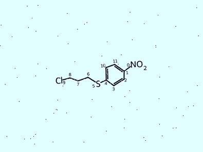 O=[N+]([O-])c1ccc(SCCCCl)cc1